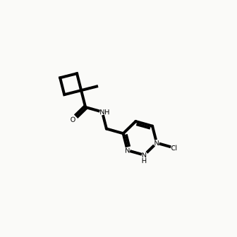 CC1(C(=O)NCC2=NNN(Cl)C=C2)CCC1